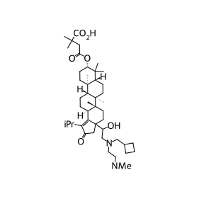 CNCCN(CC1CCC1)CC(O)C12CC[C@]3(C)[C@H](CC[C@@H]4[C@@]5(C)CC[C@H](OC(=O)CC(C)(C)C(=O)O)C(C)(C)[C@@H]5CC[C@]43C)C1=C(C(C)C)C(=O)C2